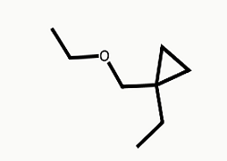 CCOCC1(CC)CC1